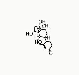 C[C@]12CC[C@H]3[C@@H](CCC4=CC(=O)CC[C@@]43CO)[C@@H]1[C@@H](O)C[C@@H]2O